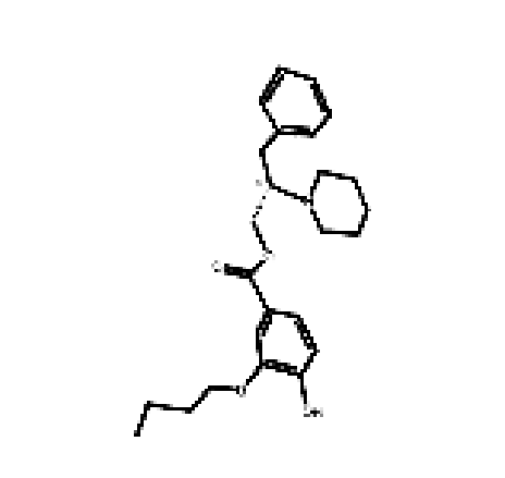 CCCCOc1cc(C(=O)OC[C@H](Cc2ccccc2)N2CCCCC2)ccc1O